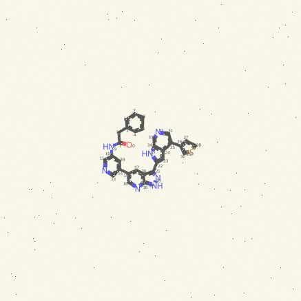 O=C(Cc1ccccc1)Nc1cncc(-c2cnc3[nH]nc(-c4cc5c(-c6ccsc6)cncc5[nH]4)c3c2)c1